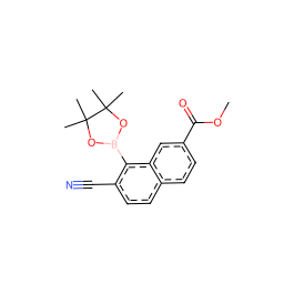 COC(=O)c1ccc2ccc(C#N)c(B3OC(C)(C)C(C)(C)O3)c2c1